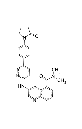 CN(C)C(=O)c1cccc2ncc(Nc3ccc(-c4ccc(N5CCCC5=O)cc4)cn3)cc12